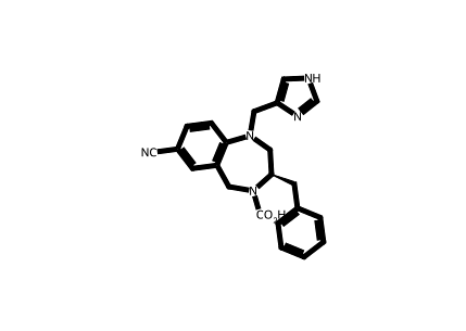 N#Cc1ccc2c(c1)CN(C(=O)O)[C@H](Cc1ccccc1)CN2Cc1c[nH]cn1